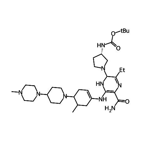 CCC1=NC(C(N)=O)=C(NC2=CCC(N3CCC(N4CCN(C)CC4)CC3)C(C)C2)NC1N1CC[C@H](NC(=O)OC(C)(C)C)C1